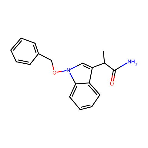 CC(C(N)=O)c1cn(OCc2ccccc2)c2ccccc12